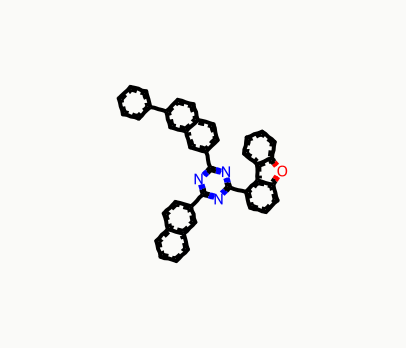 c1ccc(-c2ccc3ccc(-c4nc(-c5ccc6ccccc6c5)nc(-c5cccc6oc7ccccc7c56)n4)cc3c2)cc1